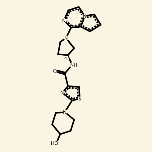 O=C(N[C@H]1CCN(c2nccn3cccc23)C1)c1csc(N2CCC(O)CC2)n1